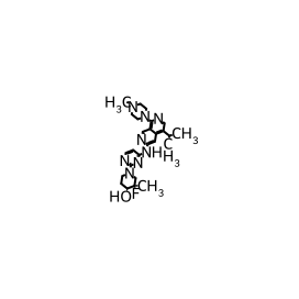 CC(C)c1cnc(N2CCN(C)CC2)c2cnc(Nc3ccnc(N4CC[C@@H](O)[C@@](C)(F)C4)n3)cc12